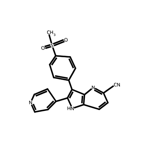 CS(=O)(=O)c1ccc(-c2c(-c3ccncc3)[nH]c3ccc(C#N)nc23)cc1